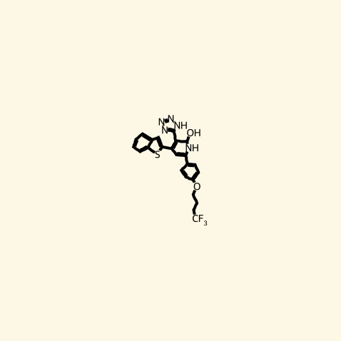 OC1NC(c2ccc(OCCCC(F)(F)F)cc2)=CC(c2cc3ccccc3s2)=C1c1nnn[nH]1